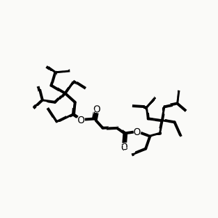 CCC(CC(CC)(CC(C)C)CC(C)C)OC(=O)CCC(=O)OC(CC)CC(CC)(CC(C)C)CC(C)C